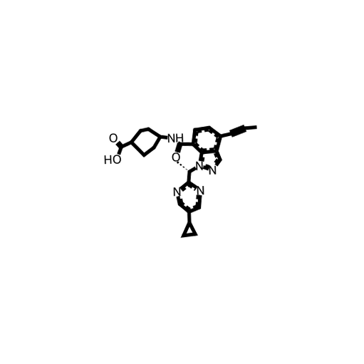 CC#Cc1ccc(C(=O)NC2CCC(C(=O)O)CC2)c2c1cnn2[C@@H](C)c1ncc(C2CC2)cn1